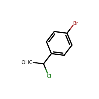 O=[C]C(Cl)c1ccc(Br)cc1